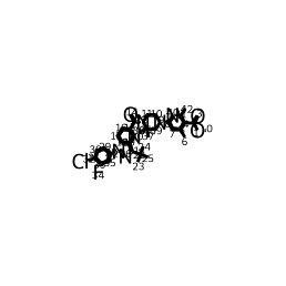 COC(=O)c1c(C)cc(N2CCN(C(=O)c3ccc4c(n3)c(C(C)(C)C)nn4-c3ccc(Cl)c(F)c3)C(C)(C)C2)nc1C